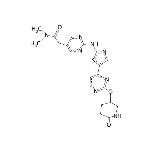 CN(C)C(=O)Cc1cnc(Nc2ncc(-c3ccnc(OC4CCC(=O)NC4)n3)s2)nc1